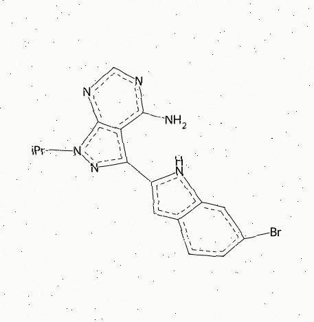 CC(C)n1nc(-c2cc3ccc(Br)cc3[nH]2)c2c(N)ncnc21